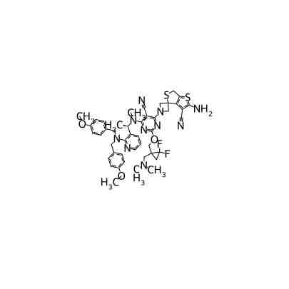 COc1ccc(CN(Cc2ccc(OC)cc2)c2ncccc2[C@@H](C)N(C)c2nc(OCC3(CN(C)C)CC3(F)F)nc(N3CC4(C3)SCc3sc(N)c(C#N)c34)c2C#N)cc1